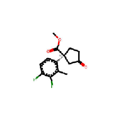 COC(=O)[C@@]1(c2ccc(F)c(F)c2C)CCC(=O)C1